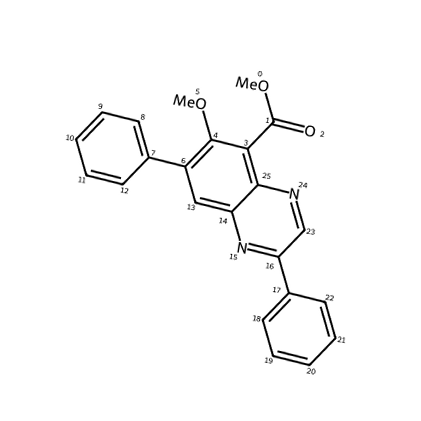 COC(=O)c1c(OC)c(-c2ccccc2)cc2nc(-c3ccccc3)cnc12